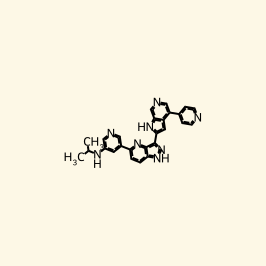 CC(C)Nc1cncc(-c2ccc3[nH]nc(-c4cc5c(-c6ccncc6)cncc5[nH]4)c3n2)c1